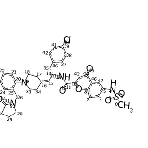 CS(=O)(=O)Nc1ccc2oc(C(=O)N[C@H](C=C3CCN(c4ccccc4CN4CCCC4=O)CC3)Cc3ccc(Cl)cc3)cc(=O)c2c1